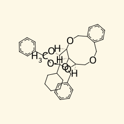 CO[C@]1(C2CCCCC2)O[C@@H]2COCc3ccccc3CO[C@@H]([C@@H]2OCc2ccccc2)[C@H]1OCc1ccccc1